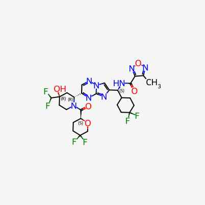 Cc1nonc1C(=O)N[C@H](c1cn2ncc([C@H]3C[C@@](O)(C(F)F)CCN3C(=O)[C@@H]3CCC(F)(F)CO3)nc2n1)C1CCC(F)(F)CC1